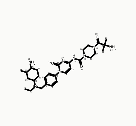 CCN(Cc1ccc(-n2ccc(NC(=O)N3CCN(C(=O)C(C)(C)N)CC3)nc2=O)cc1)C1CCC(N)C(C)C1